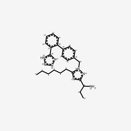 CCCCCCc1nc(C(N)CC)nn1Cc1ccc(-c2ccccc2-c2nnn[nH]2)cc1